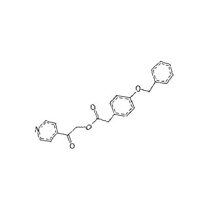 O=C(Cc1ccc(OCc2ccccc2)cc1)OCC(=O)c1ccncc1